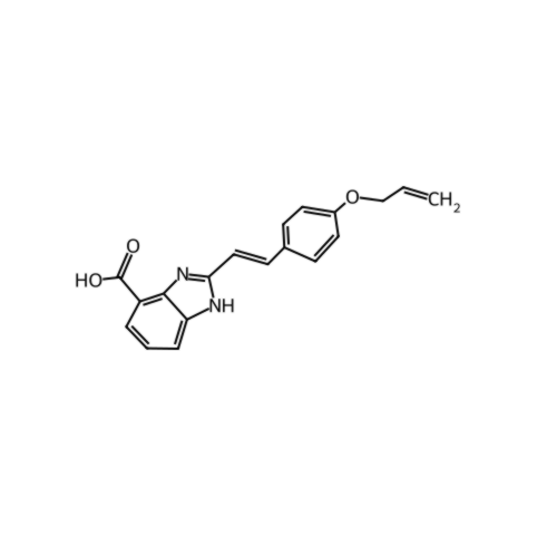 C=CCOc1ccc(/C=C/c2nc3c(C(=O)O)cccc3[nH]2)cc1